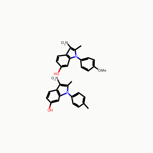 COc1ccc(-n2c(C)c([N+](=O)[O-])c3ccc(O)cc32)cc1.Cc1ccc(-n2c(C)c([N+](=O)[O-])c3ccc(O)cc32)cc1